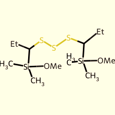 CCC(SSSC(CC)[Si](C)(C)OC)[Si](C)(C)OC